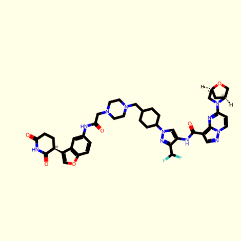 O=C1CC[C@@H](c2coc3ccc(NC(=O)CN4CCN(CC5CCC(n6cc(NC(=O)c7cnn8ccc(N9C[C@@H]%10C[C@H]9CO%10)nc78)c(C(F)F)n6)CC5)CC4)cc23)C(=O)N1